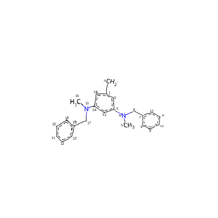 [CH2]c1cc(N(C)Cc2ccccc2)cc(N(C)Cc2ccccc2)c1